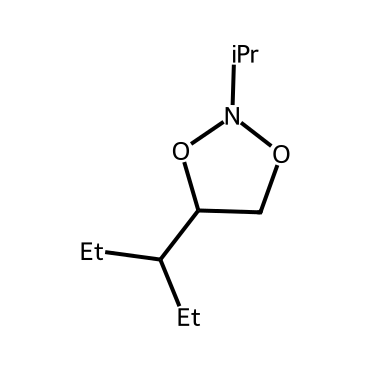 CCC(CC)C1CON(C(C)C)O1